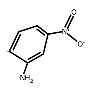 Nc1[c]ccc([N+](=O)[O-])c1